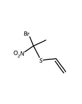 C=CSC(C)(Br)[N+](=O)[O-]